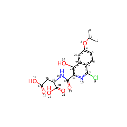 CC(C)Oc1ccc2c(Cl)nc(C(=O)NC(CC(=O)O)C(=O)O)c(O)c2c1